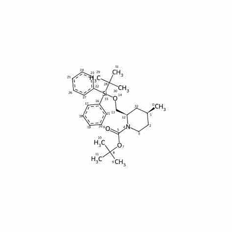 C[C@H]1CCN(C(=O)OC(C)(C)C)[C@@H](CO[Si](c2ccccc2)(c2ccccc2)C(C)(C)C)C1